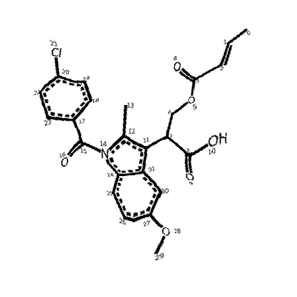 CC=CC(=O)OCC(C(=O)O)c1c(C)n(C(=O)c2ccc(Cl)cc2)c2ccc(OC)cc12